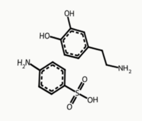 NCCc1ccc(O)c(O)c1.Nc1ccc(S(=O)(=O)O)cc1